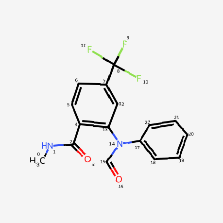 CNC(=O)c1ccc(C(F)(F)F)cc1N(C=O)c1ccccc1